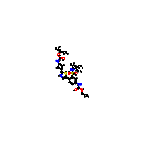 CCOC(=O)Nc1ccc(-c2cnc([C@H]3C[C@H](NC(=O)OC(C)C)C3)s2)c(S(=O)(=O)NC(C)(C)C)c1